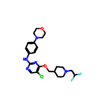 FC(F)CN1CCC(COc2nc(Nc3ccc(N4CCOCC4)cc3)ncc2Cl)CC1